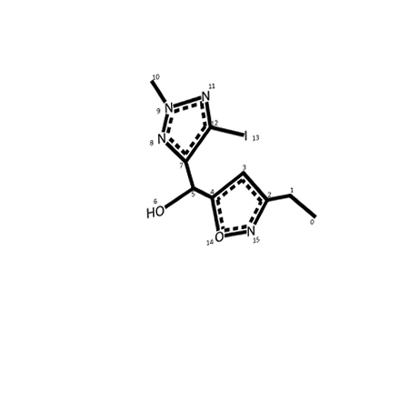 CCc1cc(C(O)c2nn(C)nc2I)on1